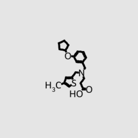 Cc1csc(CN(CCC(=O)O)Cc2cccc(OC3CCCC3)c2)c1